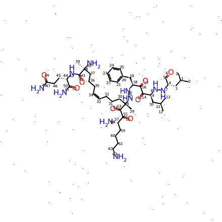 CC(C)C[C@@H](C=O)NN[C@@H](CC(C)C)C(=O)C(=O)[C@H](Cc1ccccc1)NN[C@@](C)(CCC/C=C\CCC[C@](C)(N)C(=O)N[C@@H](CCC(N)=O)C(N)=O)C(=O)C(=O)[C@@H](N)CCCCN